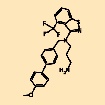 COc1ccc(-c2ccc(CN(CCCN)c3nsc4cccc(C(F)(F)F)c34)cc2)cc1